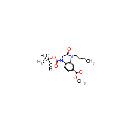 CCCCN1C(=O)CN(C(=O)OC(C)(C)C)c2ccc(C(=O)OC)cc21